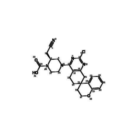 N#CC[C@H]1CN(c2nc(Cl)nc3c2CCC2(CCOc4ccccc42)C3)CCN1C(=O)O